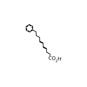 O=C(O)CCC=CC=CCCCc1ccccc1